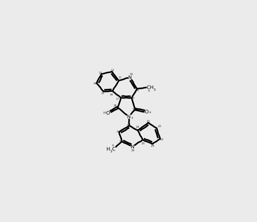 Cc1cc(N2C(=O)c3c(C)nc4ccccc4c3C2=O)c2ccccc2n1